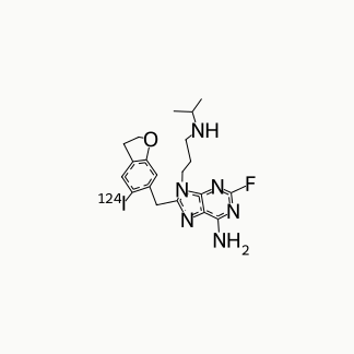 CC(C)NCCCn1c(Cc2cc3c(cc2[124I])CCO3)nc2c(N)nc(F)nc21